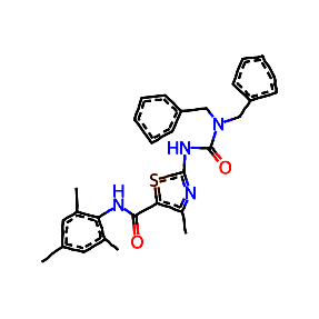 Cc1cc(C)c(NC(=O)c2sc(NC(=O)N(Cc3ccccc3)Cc3ccccc3)nc2C)c(C)c1